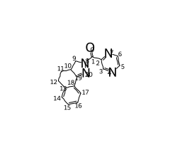 O=C(c1cnccn1)N1CC2CCc3ccccc3C2=N1